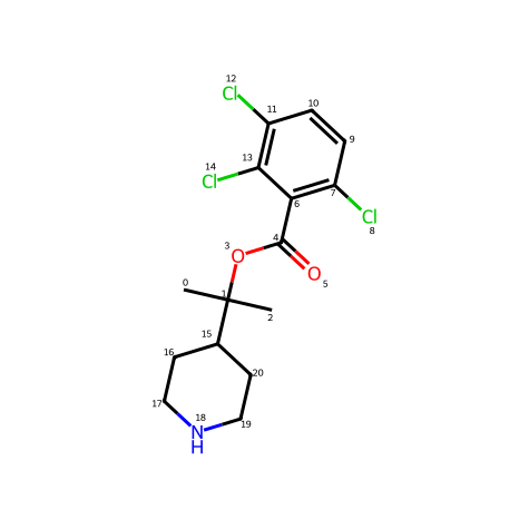 CC(C)(OC(=O)c1c(Cl)ccc(Cl)c1Cl)C1CCNCC1